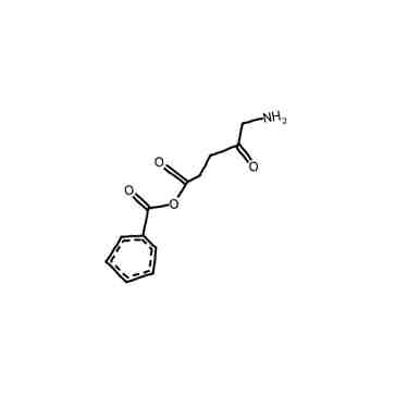 NCC(=O)CCC(=O)OC(=O)c1ccccc1